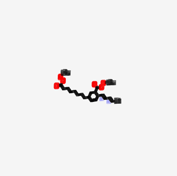 CC/C=C/C=C/C1C=CC(CCCCCCCC(=O)OOC(C)(C)C)CC1C(=O)OOC(C)(C)C